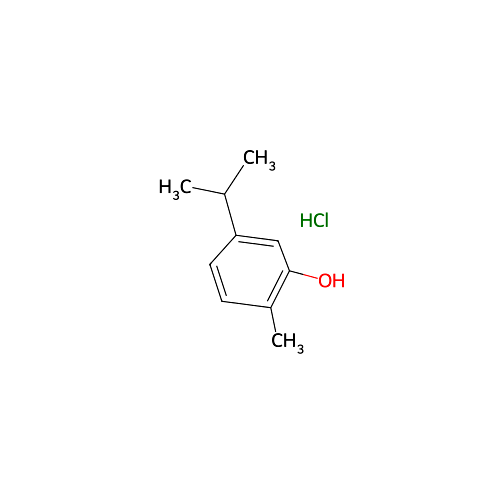 Cc1ccc(C(C)C)cc1O.Cl